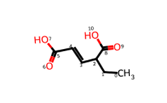 CCC(C=CC(=O)O)C(=O)O